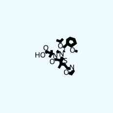 COc1ccccc1[C@H](CN1CN(C(C)(C)C(=O)O)C(=O)c2c1sc(-c1ncco1)c2C)OC(C)C